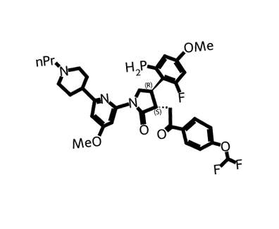 CCCN1CCC(c2cc(OC)cc(N3C[C@@H](c4c(F)cc(OC)cc4P)[C@H](CC(=O)c4ccc(OC(F)F)cc4)C3=O)n2)CC1